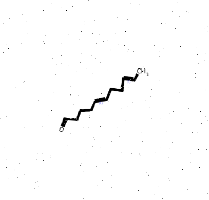 C/C=C/CC/C=C/CCCC=O